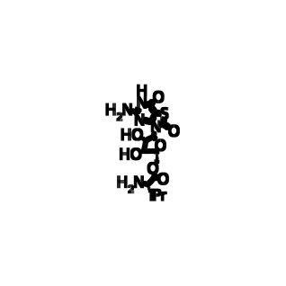 CC(C)[C@H](N)C(=O)OC[C@H]1OC(n2c(=O)sc3c(=O)[nH]c(N)nc32)[C@H](O)[C@@H]1O